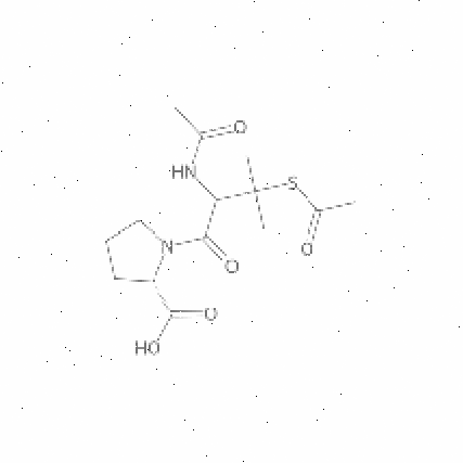 CC(=O)NC(C(=O)N1CCC[C@H]1C(=O)O)C(C)(C)SC(C)=O